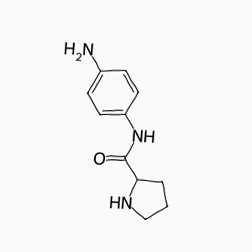 Nc1ccc(NC(=O)C2CCCN2)cc1